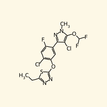 CCc1nnc(Oc2cc(-c3nn(C)c(OC(F)F)c3Cl)c(F)cc2Cl)s1